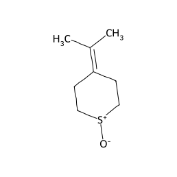 CC(C)=C1CC[S+]([O-])CC1